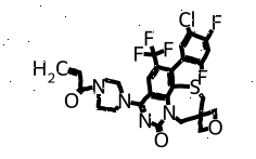 C=CC(=O)N1CCN(c2nc(=O)n3c4c(c(-c5cc(Cl)c(F)cc5F)c(C(F)(F)F)cc24)SCC2(COC2)C3)CC1